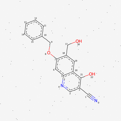 N#Cc1cnc2cc(OCc3ccccc3)c(CO)cc2c1O